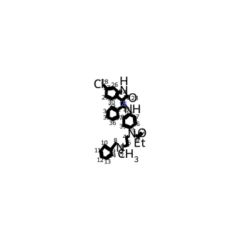 CCC(=O)N(CCN(C)Cc1ccccc1)c1ccc(N/C(=C2\C(=O)Nc3cc(Cl)ccc32)c2ccccc2)cc1